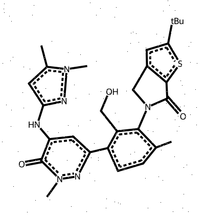 Cc1ccc(-c2cc(Nc3cc(C)n(C)n3)c(=O)n(C)n2)c(CO)c1N1Cc2cc(C(C)(C)C)sc2C1=O